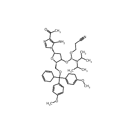 COC1=CC=C(C(OC[C@H]2O[C@@H](n3cnc(C(C)=O)c3N)CC2OP(OCCC#N)N(C(C)C)C(C)C)(c2ccc(OC)cc2)C2C=CC=CC2)CC1